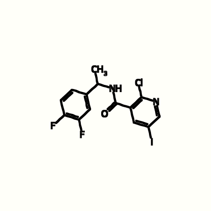 CC(NC(=O)c1cc(I)cnc1Cl)c1ccc(F)c(F)c1